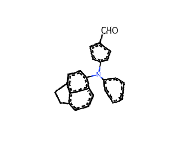 O=Cc1ccc(N(c2ccccc2)c2ccc3c4c(cccc24)CC3)cc1